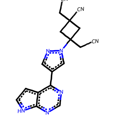 N#CCC1(C#N)CC(CC#N)(n2cc(-c3ncnc4[nH]ccc34)cn2)C1